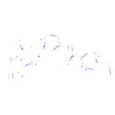 CSc1cnc(C(=O)Nc2ccnc(C3(C)CC(=O)NC(N)=N3)c2)cn1